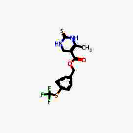 CC1=C(C(=O)OCc2ccc(SC(F)(F)F)cc2)CNC(=S)N1